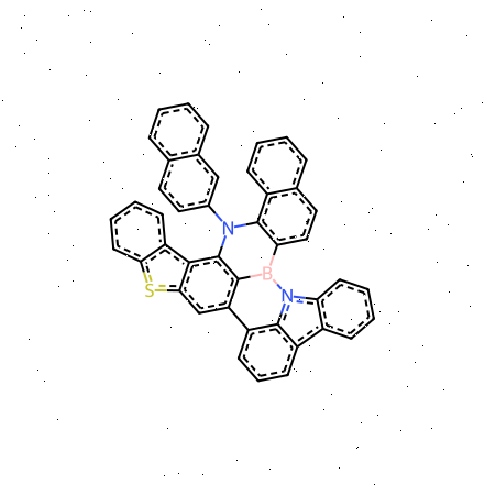 c1ccc2cc(N3c4c(ccc5ccccc45)B4c5c(cc6sc7ccccc7c6c53)-c3cccc5c6ccccc6n4c35)ccc2c1